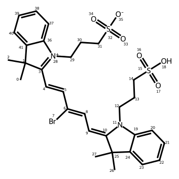 CC1(C)C(/C=C/C(Br)=C/C=C2\N(CCCS(=O)(=O)O)c3ccccc3C2(C)C)=[N+](CCCS(=O)(=O)[O-])c2ccccc21